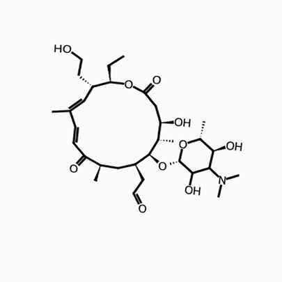 CC[C@H]1OC(=O)C[C@@H](O)[C@H](C)[C@@H](O[C@@H]2O[C@H](C)[C@@H](O)C(N(C)C)C2O)[C@@H](CC=O)C[C@@H](C)C(=O)/C=C/C(C)=C/[C@@H]1CCO